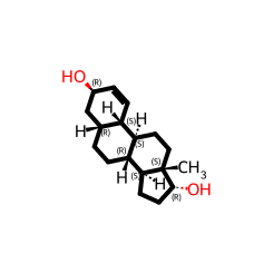 C[C@]12CC[C@@H]3[C@H]4C=C[C@H](O)C[C@H]4CC[C@H]3[C@@H]1CC[C@H]2O